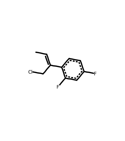 CC=C(CCl)c1ccc(F)cc1F